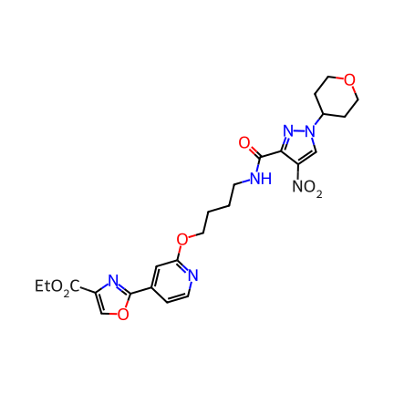 CCOC(=O)c1coc(-c2ccnc(OCCCCNC(=O)c3nn(C4CCOCC4)cc3[N+](=O)[O-])c2)n1